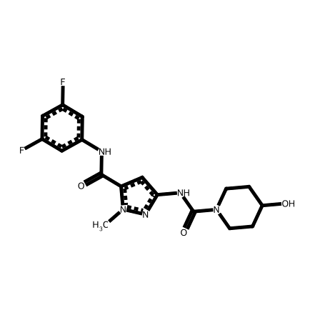 Cn1nc(NC(=O)N2CCC(O)CC2)cc1C(=O)Nc1cc(F)cc(F)c1